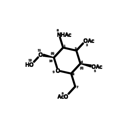 CC(=O)NC1C(OC(C)=O)[C@@H](OC(C)=O)C(COC(C)=O)O[C@H]1OO